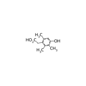 Cc1cc(O)c(C)c(C)c1CC(=O)O